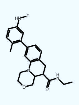 CCNC(=O)C1Cc2ccc(-c3cc(NF)ccc3C)cc2N2CCOCC12